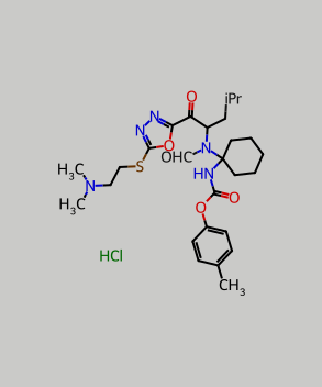 Cc1ccc(OC(=O)NC2(N(C=O)C(CC(C)C)C(=O)c3nnc(SCCN(C)C)o3)CCCCC2)cc1.Cl